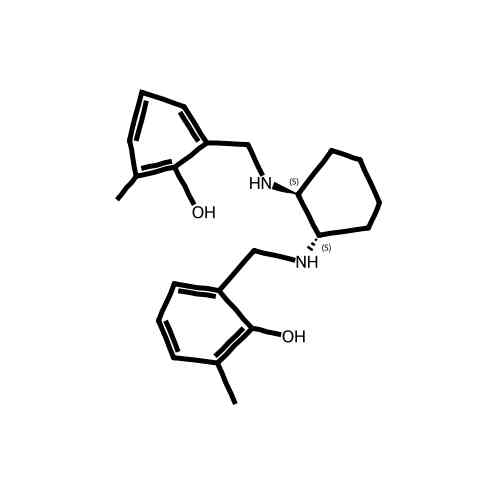 Cc1cccc(CN[C@H]2CCCC[C@@H]2NCc2cccc(C)c2O)c1O